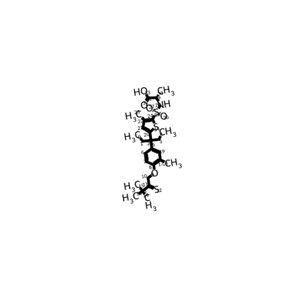 CCC(CC)(c1ccc(OCC(=S)C(C)(C)C)c(C)c1)c1cc(C)c(S(=O)(=O)N[C@H](C)C(=O)O)s1